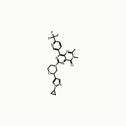 Cc1nc2c(-c3ccc(C(F)(F)F)nc3)nc(N3CCOC(c4cnn(C5CC5)c4)C3)nc2c(=O)n1C